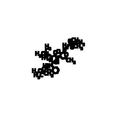 C=CCC(NC(=O)[C@@H]1C2[C@H](CN1C(=O)C(NC(=O)OC(C)(C)C)C1CCCCC1)C2(C)C)C(=O)C(=O)NCCS(=O)(=O)C(C)(C)C